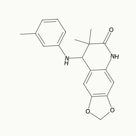 Cc1cccc(NC2c3cc4c(cc3NC(=O)C2(C)C)OCO4)c1